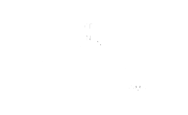 COc1ccc(-c2cc(-c3cccc4ccccc34)n(C(F)(F)F)n2)cc1